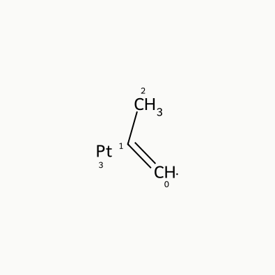 [CH]=CC.[Pt]